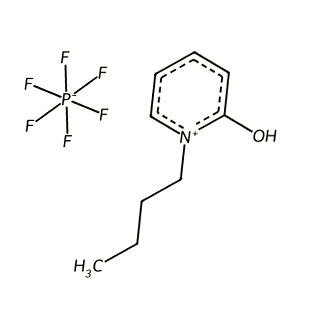 CCCC[n+]1ccccc1O.F[P-](F)(F)(F)(F)F